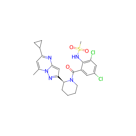 Cc1cc(C2CC2)nc2cc([C@@H]3CCCCN3C(=O)c3cc(Cl)cc(Cl)c3NS(C)(=O)=O)nn12